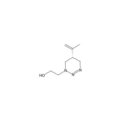 C=C(C)[C@@H]1CN=NN(CCO)C1